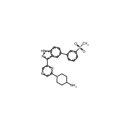 CS(=O)(=O)c1cccc(-c2ccc3[nH]nc(-c4cncc(N5CCC(N)CC5)n4)c3c2)c1